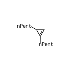 CCCCCC1=CC1CCCCC